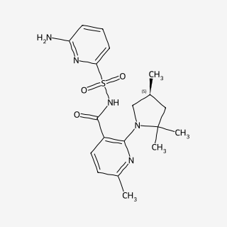 Cc1ccc(C(=O)NS(=O)(=O)c2cccc(N)n2)c(N2C[C@@H](C)CC2(C)C)n1